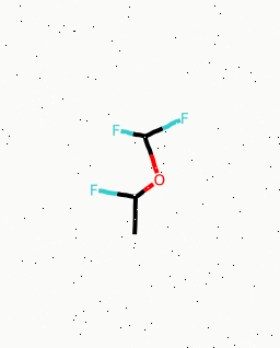 CC(F)OC(F)F